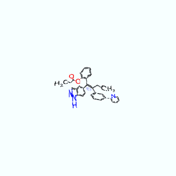 C=CC(=O)Oc1ccccc1/C(=C(\CC)c1cccc(-c2ccccn2)c1)c1ccc2[nH]ncc2c1